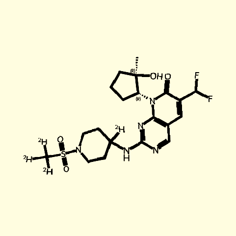 [2H]C1(Nc2ncc3cc(C(F)F)c(=O)n([C@@H]4CCC[C@@]4(C)O)c3n2)CCN(S(=O)(=O)C([2H])([2H])[2H])CC1